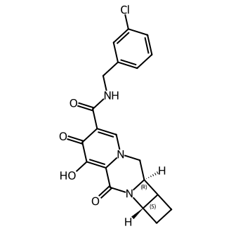 O=C(NCc1cccc(Cl)c1)c1cn2c(c(O)c1=O)C(=O)N1[C@H]3CCC3[C@@H]1C2